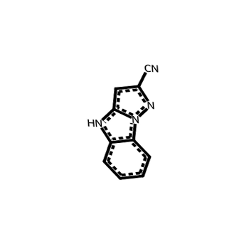 N#Cc1cc2[nH]c3ccccc3n2n1